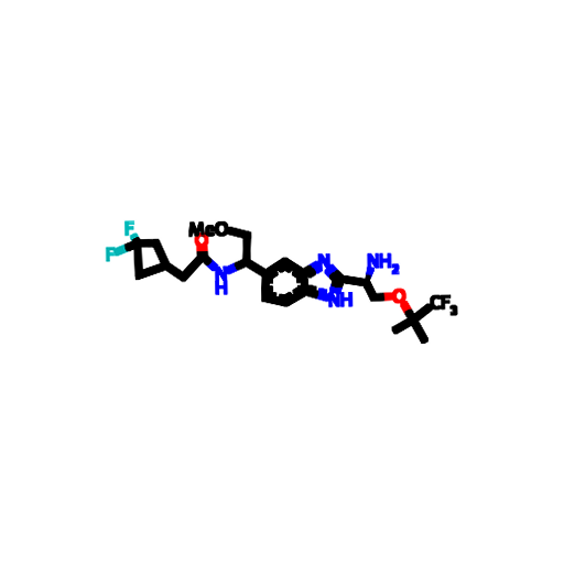 COCC(NC(=O)CC1CC(F)(F)C1)c1ccc2[nH]c([C@@H](N)COC(C)(C)C(F)(F)F)nc2c1